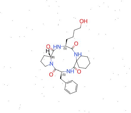 O=C1NC2(CCCCC2)C(=O)N[C@@H](Cc2ccccc2)C(=O)N2CCC[C@@H]2C(=O)N[C@H]1CCCCO